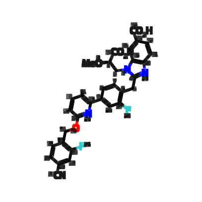 CO[C@H](Cn1c(Cc2ccc(-c3cccc(OCc4ccc(C#N)cc4F)n3)cc2F)nc2ccc(C(=O)O)cc21)C(=O)O